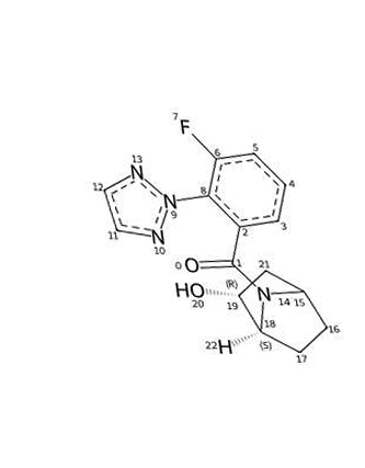 O=C(c1cccc(F)c1-n1nccn1)N1C2CC[C@H]1[C@H](O)C2